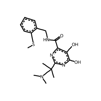 CSc1ccccc1CNC(=O)c1nc(C(C)(C)N(C)C)nc(O)c1O